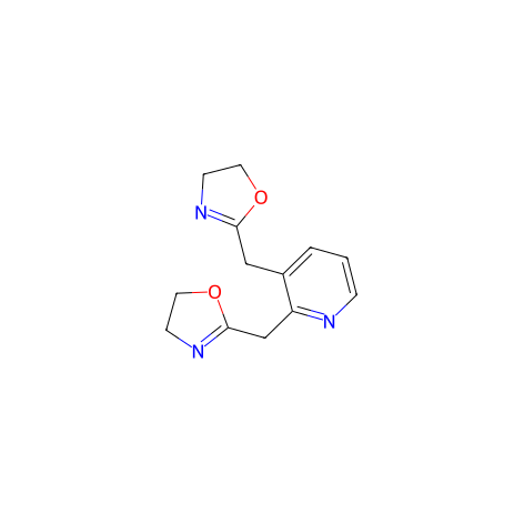 c1cnc(CC2=NCCO2)c(CC2=NCCO2)c1